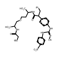 CC(C)CC(C(=O)NC(CCOCC(NC(=O)CC(C)(C)C)C(=O)O)C(=O)O)c1ccc(NC(=NC#N)Nc2ccc([N+](=O)[O-])cc2)cc1